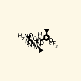 C[C@H](NC(=O)c1cc(OC(F)(F)F)cc(C2CC2)c1)c1nc(C2CC2)nn1-c1cc(C(N)=O)ncn1